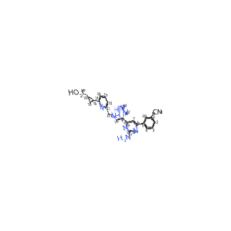 N#Cc1cccc(-c2cc(/C(=C/NCc3cccc(C4CC4C(=O)O)n3)N=N)nc(N)n2)c1